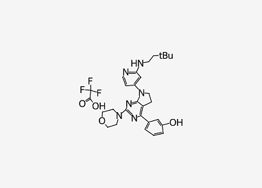 CC(C)(C)CCNc1cc(N2CCc3c(-c4cccc(O)c4)nc(N4CCOCC4)nc32)ccn1.O=C(O)C(F)(F)F